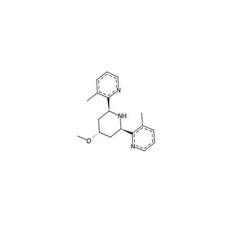 CO[C@@H]1C[C@@H](c2ncccc2C)N[C@@H](c2ncccc2C)C1